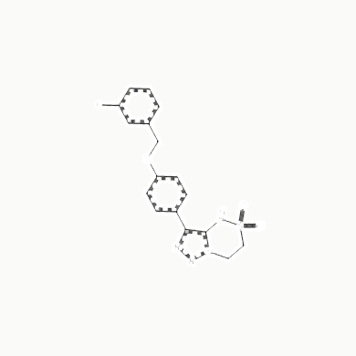 O=S1(=O)CCn2nnc(-c3ccc(OCc4cccc(F)c4)cc3)c2N1